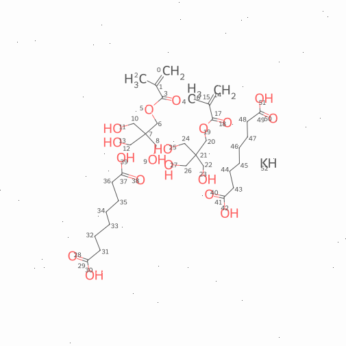 C=C(C)C(=O)OCC(CO)(CO)CO.C=C(C)C(=O)OCC(CO)(CO)CO.O=C(O)CCCCCCC(=O)O.O=C(O)CCCCCCC(=O)O.[KH]